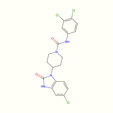 O=C(Nc1ccc(Cl)c(Cl)c1)N1CCC(n2c(=O)[nH]c3cc(Cl)ccc32)CC1